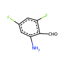 Nc1cc(F)cc(F)c1C=O